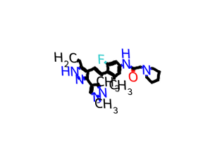 C=Cc1[nH]nc(-c2cnn(C)c2)c1/C=C(\C)c1c(C)cc(NC(=O)CN2CCCCC2)cc1F